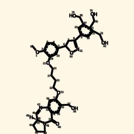 COc1ccc(C2CC(c3cc(CO)c(CO)c(CO)c3)=NO2)cc1OCCCCOc1cc2c(cc1CO)C(=O)N1CCC[C@H]1C=N2